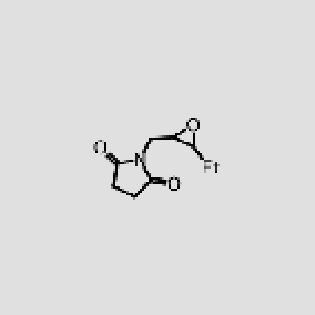 CCC1OC1CN1C(=O)CCC1=O